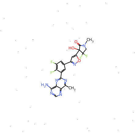 Cc1nc(-c2cc(-c3cc(C4(O)C(=O)N(C)CC4(F)F)on3)cc(F)c2F)nc2c(N)ncnc12